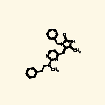 C=c1[nH]c(=O)n(Cc2ccccc2)/c1=C\c1ccnc(N(C)CCc2ccccc2)n1